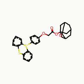 O=C(COc1ccc([S+]2c3ccccc3Sc3ccccc32)cc1)OC12CC3CC(C1)C(=O)C(C3)C2